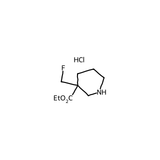 CCOC(=O)C1(CF)CCCNC1.Cl